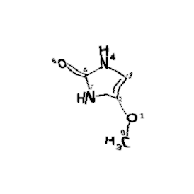 COc1[c][nH]c(=O)[nH]1